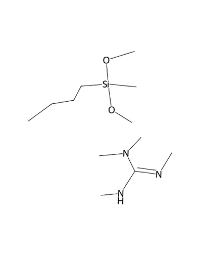 CCCC[Si](C)(OC)OC.CN=C(NC)N(C)C